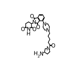 N[C@@H]1CCN(C(=O)CCCCN2CCN(c3cccc4c3C(=O)N(C3CCC(=O)NC3=O)C4=O)CC2)C1